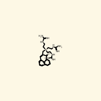 N=C(N)NCC[N+](CCNC(=N)N)(CCNC(=N)N)CC1=Cc2cccc3cccc(c23)C1=O